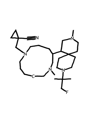 CN1CCCCCN(CC2(C#N)CC2)CCCC(C2CN(C)CCC23CCN(C(C)(C)CF)CC3)C1